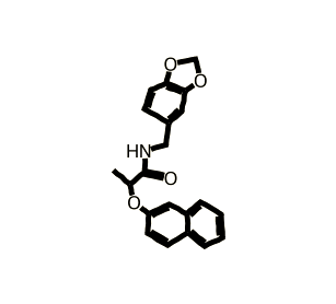 CC(Oc1ccc2ccccc2c1)C(=O)NCc1ccc2c(c1)OCO2